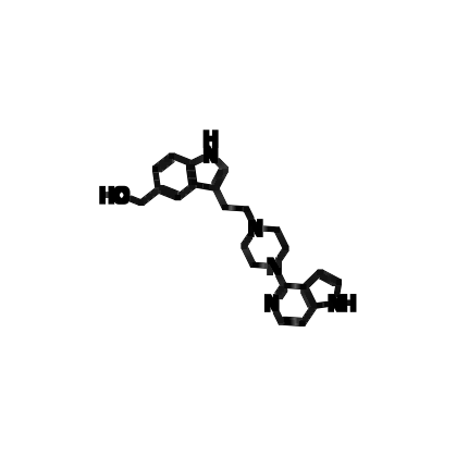 OCc1ccc2[nH]cc(CCN3CCN(c4nccc5[nH]ccc45)CC3)c2c1